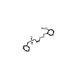 COc1ccccc1CSS/C=C\CS(=O)(=O)Cc1ccccc1